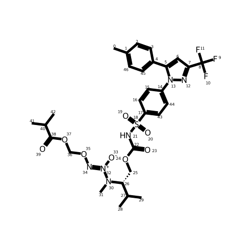 Cc1ccc(-c2cc(C(F)(F)F)nn2-c2ccc(S(=O)(=O)NC(=O)OC[C@H](C(C)C)N(C)[N+]([O-])=NOCOC(=O)C(C)C)cc2)cc1